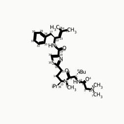 CCC(C)[C@H](NC(=O)CN(C)C)C(=O)N(C)[C@H](CCc1nc(C(=O)N[C@H](C=C(C)C)Cc2ccccc2)cs1)C(C)C